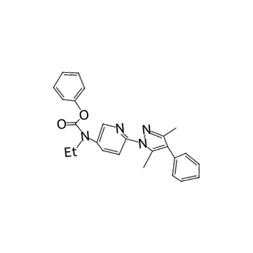 CCN(C(=O)Oc1ccccc1)c1ccc(-n2nc(C)c(-c3ccccc3)c2C)nc1